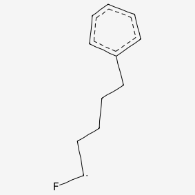 F[CH]CCCCc1ccccc1